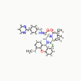 CCc1ccccc1Oc1cccc(F)c1CN1C[C@@H](C)N(C(=O)C(C)C)[C@@H](C(=O)NCc2ccc(-c3ncccn3)cc2)C1